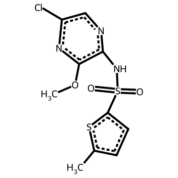 COc1nc(Cl)cnc1NS(=O)(=O)c1ccc(C)s1